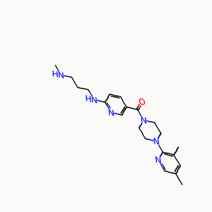 CNCCCNc1ccc(C(=O)N2CCN(c3ncc(C)cc3C)CC2)cn1